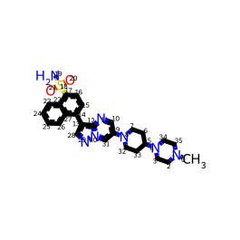 CN1CCN(C2CCN(c3cnc4c(-c5ccc(S(N)(=O)=O)c6ccccc56)cnn4c3)CC2)CC1